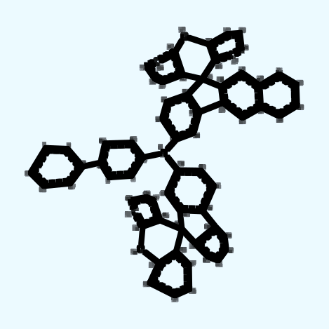 c1ccc(-c2ccc(N(c3ccc4c(c3)-c3cc5ccccc5cc3C43c4ccccc4Oc4ccccc43)c3ccc4c(c3)C3(c5ccccc5Oc5ccccc53)c3ccccc3-4)cc2)cc1